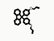 C=CCOc1ccc(C2(c3ccc(SCC=C)cc3)c3ccccc3-c3ccccc32)cc1